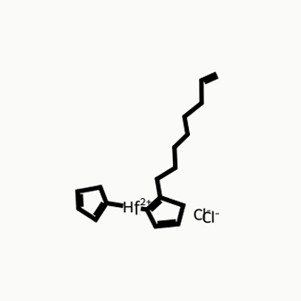 C=CCCCCCCC1=[C]([Hf+2][C]2=CC=CC2)C=CC1.[Cl-].[Cl-]